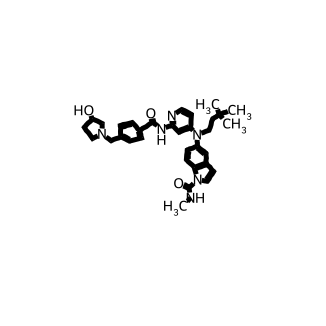 CNC(=O)n1ccc2cc(N(CCC(C)(C)C)c3ccnc(NC(=O)c4ccc(CN5CCC(O)C5)cc4)c3)ccc21